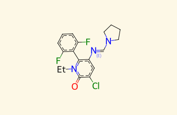 CCn1c(-c2c(F)cccc2F)c(/N=C/N2CCCC2)cc(Cl)c1=O